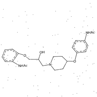 CC(=O)Nc1ccc(OC2CCN(CC(O)COc3ccccc3NC(C)=O)CC2)cc1